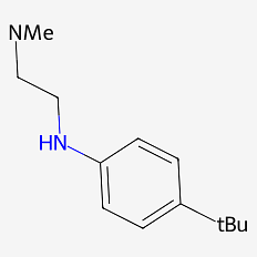 CNCCNc1ccc(C(C)(C)C)cc1